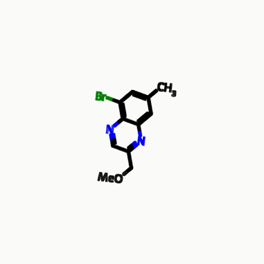 COCc1cnc2c(Br)cc(C)cc2n1